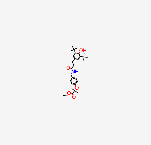 CCOC(=O)C(C)(C)Oc1ccc(CNC(=O)CCc2cc(C(C)(C)C)c(O)c(C(C)(C)C)c2)cc1